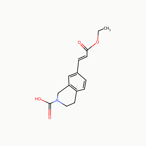 CCOC(=O)C=Cc1ccc2c(c1)CN(C(=O)O)CC2